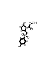 Cc1ccc(S(=O)(=O)CC2CCC(C)N2C(=O)OO)cc1